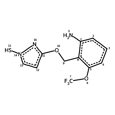 Nc1cccc(OC(F)(F)F)c1COc1ccn(S)n1